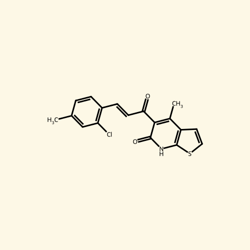 Cc1ccc(C=CC(=O)c2c(C)c3ccsc3[nH]c2=O)c(Cl)c1